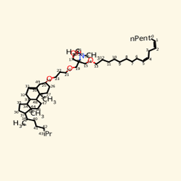 CCCCC/C=C\C/C=C\CCCCCCCCOCC(CO)(COCCCO[C@H]1CC[C@@]2(C)C(=CCC3C4CCC(C(C)CCCC(C)C)[C@@]4(C)CCC32)C1)N(C)C